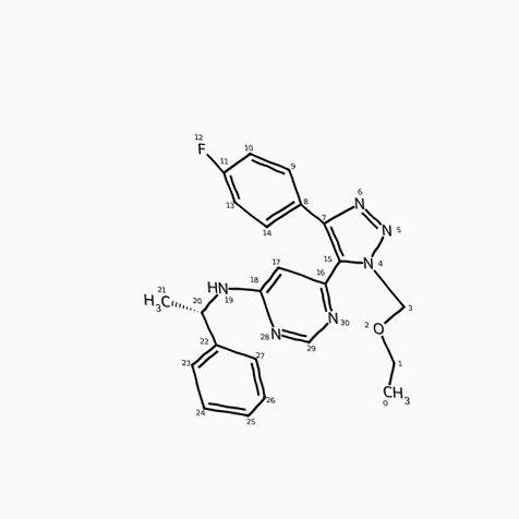 CCOCn1nnc(-c2ccc(F)cc2)c1-c1cc(N[C@@H](C)c2ccccc2)ncn1